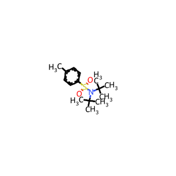 Cc1ccc(S(=O)(=O)N(C(C)(C)C)C(C)(C)C)cc1